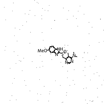 COc1ccc2[nH]c([S+]([O-])Cc3ncnc(N(C)C)c3C)nc2c1